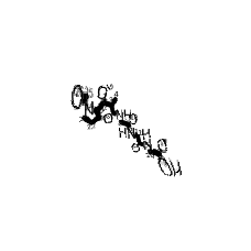 COC(C(C)C(=O)NCC(=O)NCC(=O)NCC(=O)O)C1CCCN1C=O